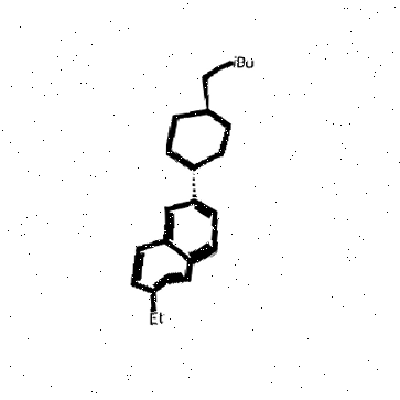 CCc1ccc2cc([C@H]3CC[C@H](CC(C)CC)CC3)ccc2c1